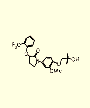 COc1cc(N2CCC(Oc3ccccc3C(F)(F)F)C2=O)ccc1OCC(C)(C)O